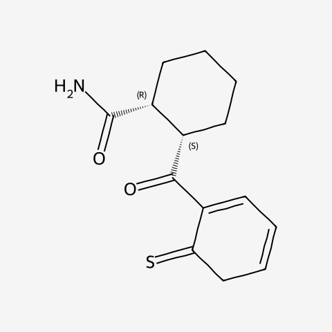 NC(=O)[C@@H]1CCCC[C@@H]1C(=O)C1=CC=CCC1=S